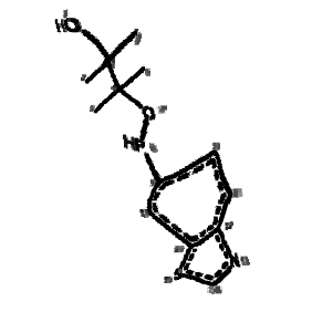 CC(C)(O)C(C)(C)OPc1ccc2ncsc2c1